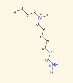 CCCCN(C)CCCCCCCNC